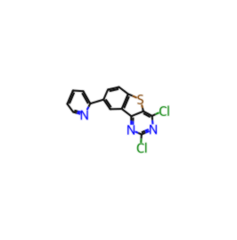 Clc1nc(Cl)c2sc3ccc(-c4ccccn4)cc3c2n1